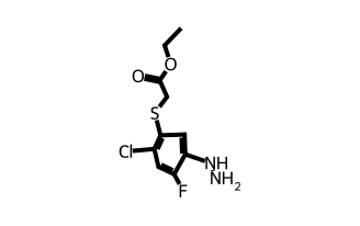 CCOC(=O)CSc1cc(NN)c(F)cc1Cl